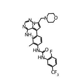 Cc1cc(-c2cc(CN3CCOCC3)n3ncnc(N)c23)ccc1NC(=O)Nc1cc(C(F)(F)F)ccc1F